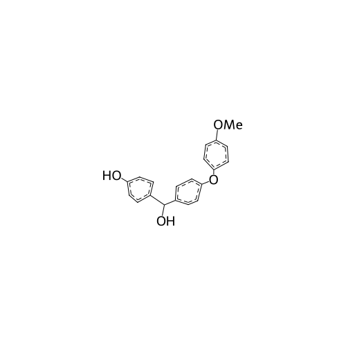 COc1ccc(Oc2ccc(C(O)c3ccc(O)cc3)cc2)cc1